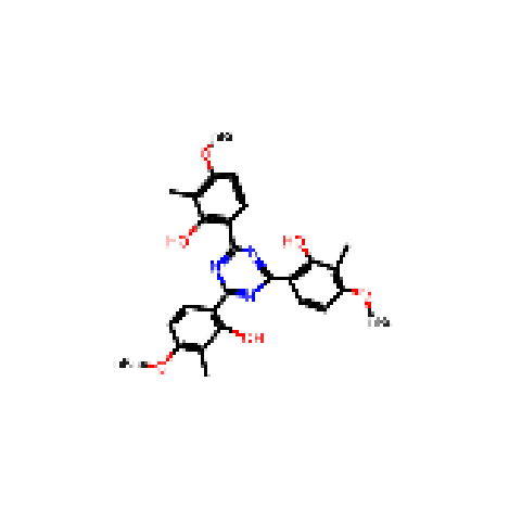 CCCCOc1ccc(-c2nc(-c3ccc(OCCCC)c(C)c3O)nc(-c3ccc(OCCCC)c(C)c3O)n2)c(O)c1C